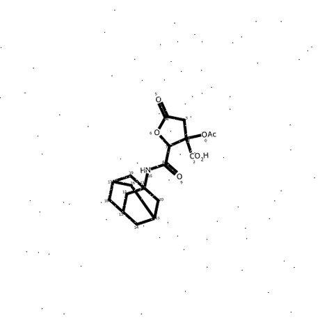 CC(=O)OC1(C(=O)O)CC(=O)OC1C(=O)NC12CC3CC(CC(C3)C1)C2